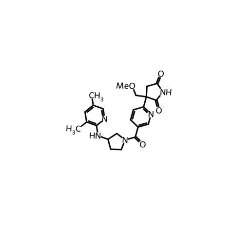 COCC1(c2ccc(C(=O)N3CCC(Nc4ncc(C)cc4C)C3)cn2)CC(=O)NC1=O